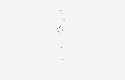 COc1cc(CC[C@@](N)(CO)CC2CCC2)ccc1OCCCCCCCC(C)C